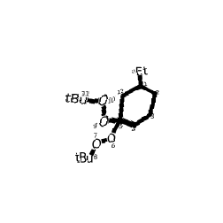 CCC1CCCC(OOC(C)(C)C)(OOC(C)(C)C)C1